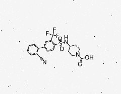 N#Cc1ccccc1-c1ccc(S(=O)(=O)NC2CCN(C(=O)O)CC2)c(C(F)(F)F)c1